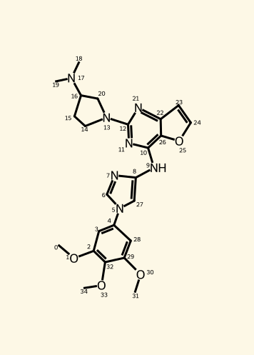 COc1cc(-n2cnc(Nc3nc(N4CCC(N(C)C)C4)nc4ccoc34)c2)cc(OC)c1OC